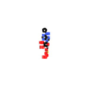 OOOSOC[C@H]1O[C@@H](n2cnc3c(NC4CCCC4)ncnc32)[C@H](O)[C@@H]1O